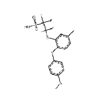 CSc1ccc(Sc2ccc(C)cc2OC(F)(F)C(F)(F)S(=O)(=O)O)cc1